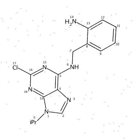 CC(C)n1cnc2c(NCc3ccccc3N)nc(Cl)nc21